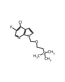 C[Si](C)(C)CCOCn1ccc2c(Cl)c(F)cnc21